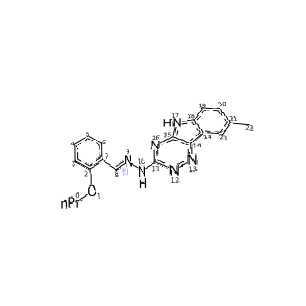 CCCOc1ccccc1/C=N/Nc1nnc2c(n1)[nH]c1ccc(C)cc12